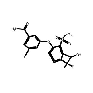 CS(=O)(=O)C1=C2C(=C=C=C1Oc1cc(F)cc(C(N)=O)c1)C(F)(F)C2O